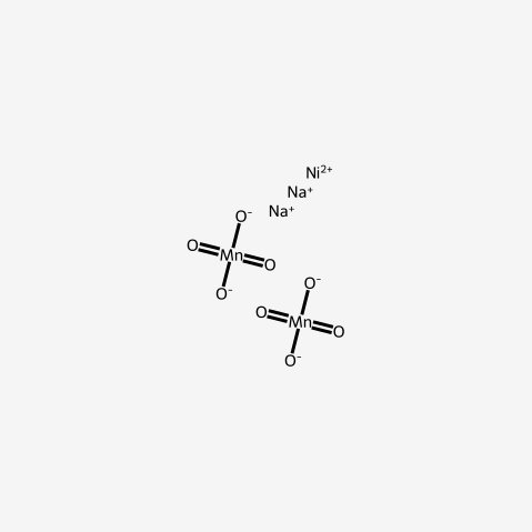 [Na+].[Na+].[Ni+2].[O]=[Mn](=[O])([O-])[O-].[O]=[Mn](=[O])([O-])[O-]